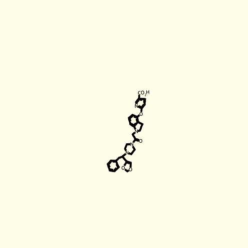 O=C(O)c1ccc(Oc2cccc3c2CCN3CC(=O)N2CCN(C(Cc3ccccc3)C3=COCO3)CC2)nc1